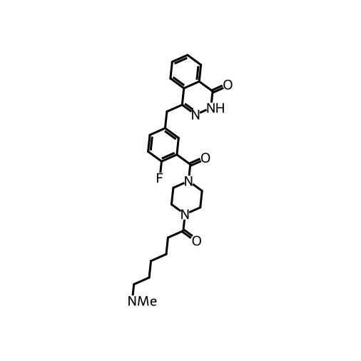 CNCCCCCC(=O)N1CCN(C(=O)c2cc(Cc3n[nH]c(=O)c4ccccc34)ccc2F)CC1